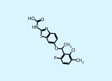 Cc1ccc(F)c(C(C)Oc2ccc3nc(NC(=O)O)sc3c2)c1Cl